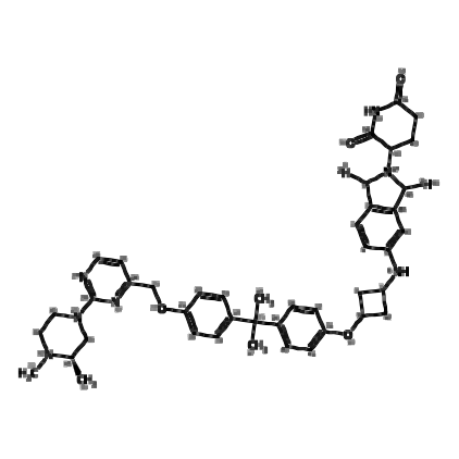 [2H]C1c2ccc(NC3CC(Oc4ccc(C(C)(C)c5ccc(OCc6ccnc(N7CCN(C)[C@H](C)C7)n6)cc5)cc4)C3)cc2C([2H])N1C1CCC(=O)NC1=O